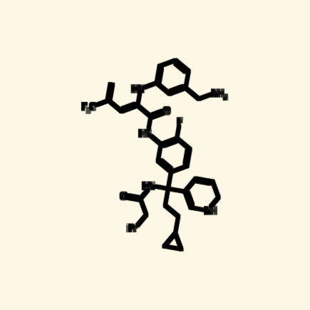 C=C(/C=C(\Nc1cccc(CN)c1)C(=O)Nc1cc(C(CCC2CC2)(NC(=O)CC(C)C)C2=CNCC=C2)ccc1F)C(F)(F)F